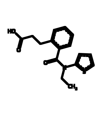 CCN(C(=O)c1ccccc1CCC(=O)O)c1cccs1